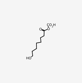 O=C(O)OC(=O)CCCCCCCO